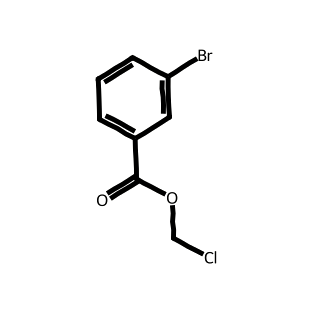 O=C(OCCl)c1cccc(Br)c1